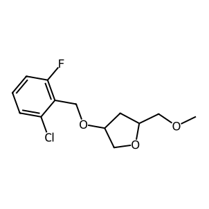 COCC1CC(OCc2c(F)cccc2Cl)CO1